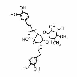 C[C@@H]1CC(O[C@H]2C(OC(=O)/C=C/c3ccc(O)c(O)c3)[C@@H](CO)O[C@@H](OCCc3ccc(O)c(O)c3)[C@@H]2O)[C@H](O)[C@H](O)[C@H]1O